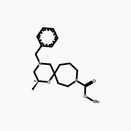 C[C@H]1CN(Cc2ccccc2)CC2(CCCN(C(=O)OC(C)(C)C)CC2)O1